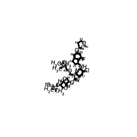 CC(C)(C)[Si](C)(C)OC1CO[C@H]2[C@@H]1OC[C@H]2Oc1nc2cc(Cl)c(NC3CCc4cc(OC5CCOCC5)cc(F)c43)nc2n1COCC[Si](C)(C)C